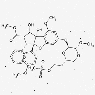 COC(=O)[C@H]1[C@@H](c2ccccc2)[C@@]2(c3ccc(OC)cc3)Oc3cc(O[C@@H]4O[C@@H](CCOS(C)(=O)=O)CO[C@H]4OC)cc(OC)c3[C@]2(O)[C@H]1O